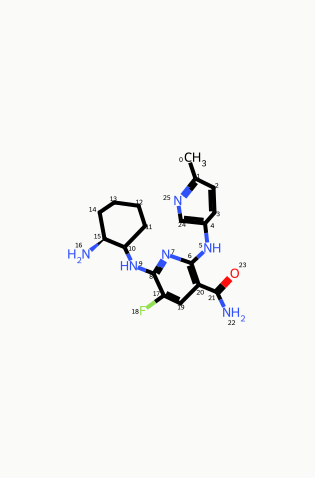 Cc1ccc(Nc2nc(NC3CCCC[C@@H]3N)c(F)cc2C(N)=O)cn1